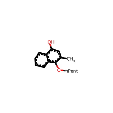 CCCCCOc1c(C)cc(O)c2ccccc12